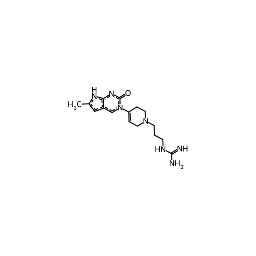 Cc1cc2cn(C3=CCN(CCCNC(=N)N)CC3)c(=O)nc2[nH]1